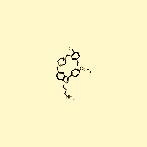 NCCCn1cc(-c2ccc(OC(F)(F)F)cc2)c2cc(CN3CCN(Cc4cc(F)ccc4Cl)CC3)ccc21